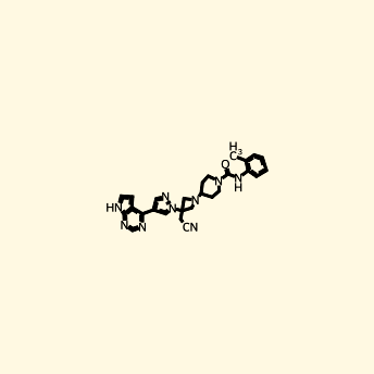 Cc1ccccc1NC(=O)N1CCC(N2CC(CC#N)(n3cc(-c4ncnc5[nH]ccc45)cn3)C2)CC1